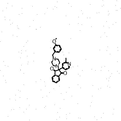 COc1cccc(CN2CCN(C3(c4ccnc(C)c4)C(=O)c4ccccc4C3=O)CC2)c1